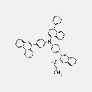 C=C/C=C\c1cc2ccccc2cc1-c1ccc(N(c2ccc(-c3cc4ccccc4c4ccccc34)cc2)c2ccc(-c3ccccc3)c3ccccc23)cc1